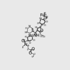 CCOC(=O)CCN(C)C(=O)c1ccc(NC(c2cc(-c3ccc(C(F)(F)F)cc3)oc2CC)C2CCCCC2)cc1